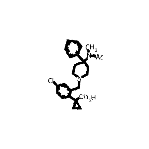 CC(=O)N(C)C1(c2ccccc2)CCN(Cc2cc(Cl)ccc2C2(C(=O)O)CC2)CC1